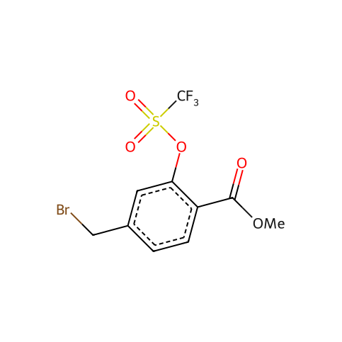 COC(=O)c1ccc(CBr)cc1OS(=O)(=O)C(F)(F)F